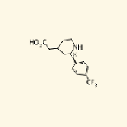 O=C(O)CC1CCN[C@@H](c2ccc(C(F)(F)F)cc2)C1